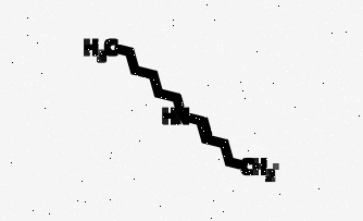 [CH2]CCC=CNCCCCCC